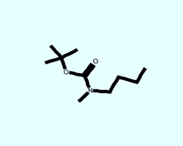 C[CH]CCN(C)C(=O)OC(C)(C)C